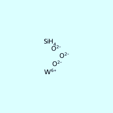 [O-2].[O-2].[O-2].[SiH4].[W+6]